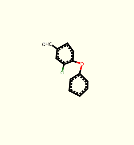 O=Cc1ccc(Oc2ccccc2)c(Cl)c1